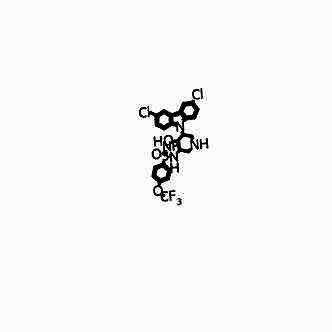 N=S(=O)(NC1CNCC(n2c3ccc(Cl)cc3c3cc(Cl)ccc32)C1O)c1ccc(OC(F)(F)F)cc1